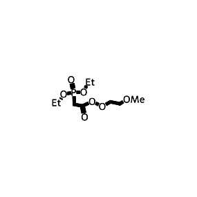 CCOP(=O)(CC(=O)OOCCOC)OCC